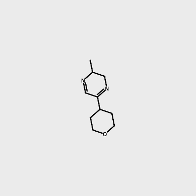 CC1CN=C(C2CCOCC2)C=N1